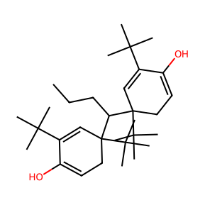 CCCC(C1(C(C)(C)C)C=C(C(C)(C)C)C(O)=CC1)C1(C(C)(C)C)C=C(C(C)(C)C)C(O)=CC1